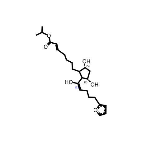 CC(C)OC(=O)C=CCCCCC1C(/C(O)=C\CCCc2ccco2)[C@H](O)C[C@@H]1O